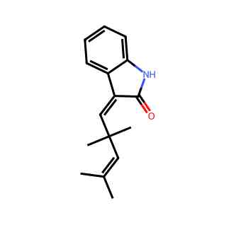 CC(C)=CC(C)(C)/C=C1\C(=O)Nc2ccccc21